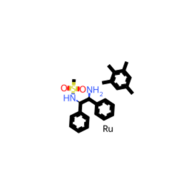 CS(=O)(=O)N[C@@H](c1ccccc1)[C@@H](N)c1ccccc1.Cc1cc(C)c(C)c(C)c1.[Ru]